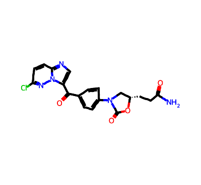 NC(=O)CC[C@H]1CN(c2ccc(C(=O)c3cnc4ccc(Cl)nn34)cc2)C(=O)O1